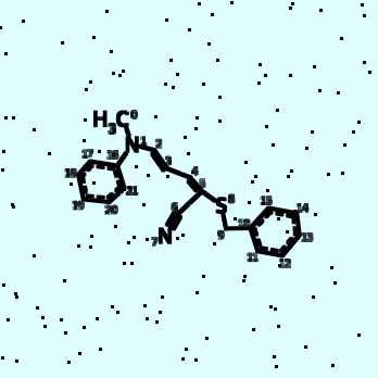 CN(C=CC=C(C#N)SCc1ccccc1)c1ccccc1